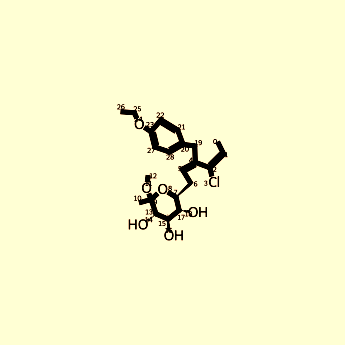 C/C=C(Cl)\C(=C/C[C@@H]1OC(C)(OC)[C@@H](O)[C@H](O)[C@H]1O)Cc1ccc(OCC)cc1